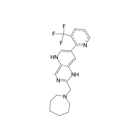 FC(F)(F)c1cccnc1C1=CNC2=[C]N=C(CN3CCCCCC3)NC2=C1